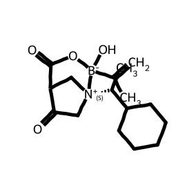 C=C(C)[B-]1(O)OC(=O)C2C[N@+]1(C(C)C1CCCCC1)CC2=O